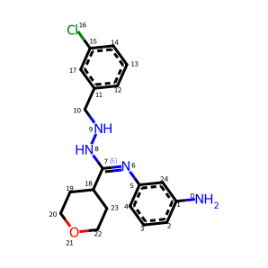 Nc1cccc(/N=C(/NNCc2cccc(Cl)c2)C2CCOCC2)c1